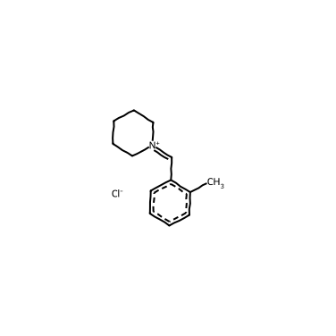 Cc1ccccc1C=[N+]1CCCCC1.[Cl-]